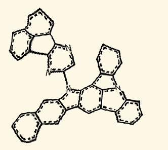 c1ccc2cc3c(cc2c1)c1cc2c4ccccc4n4c5ccccc5c(c1n3-c1cnc3c(n1)-c1cccc5cccc-3c15)c24